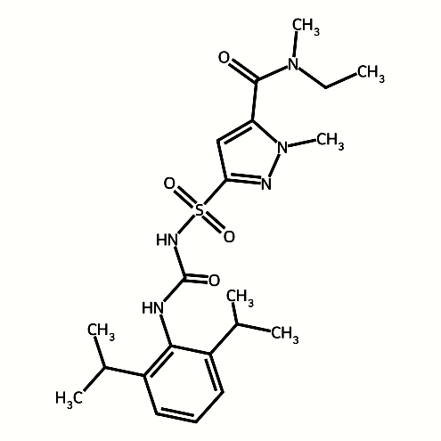 CCN(C)C(=O)c1cc(S(=O)(=O)NC(=O)Nc2c(C(C)C)cccc2C(C)C)nn1C